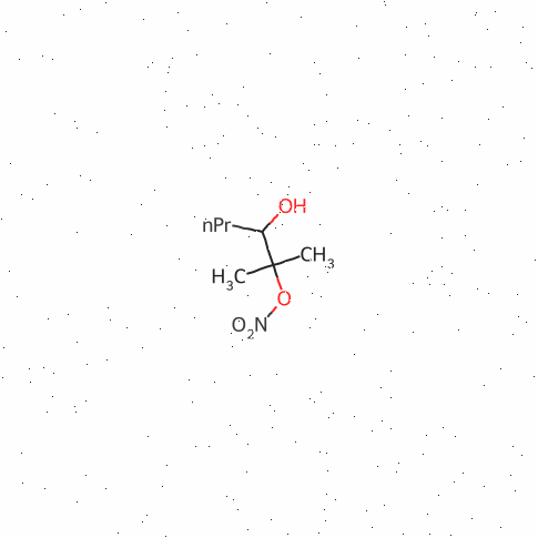 CCCC(O)C(C)(C)O[N+](=O)[O-]